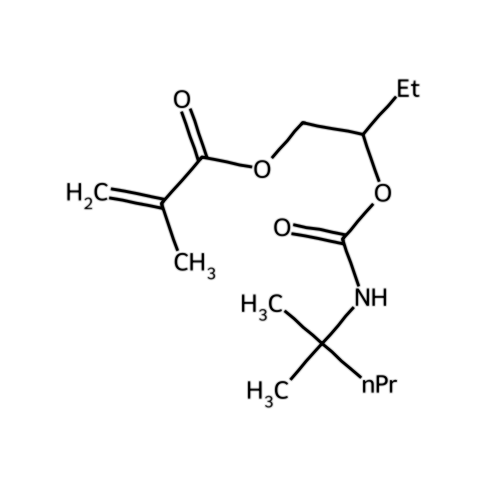 C=C(C)C(=O)OCC(CC)OC(=O)NC(C)(C)CCC